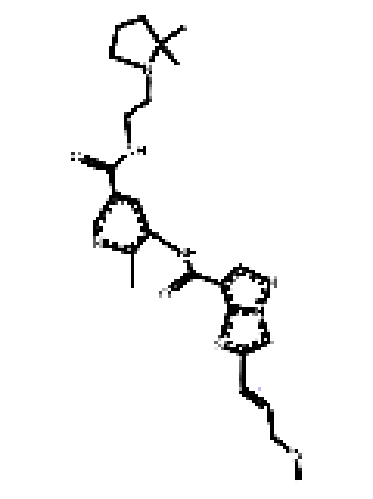 COC/C=C/c1cn2ncc(C(=O)Nc3cc(C(=O)NCCN4CCCC4(C)C)cnc3C)c2s1